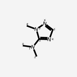 CN(C)c1ncnn1C